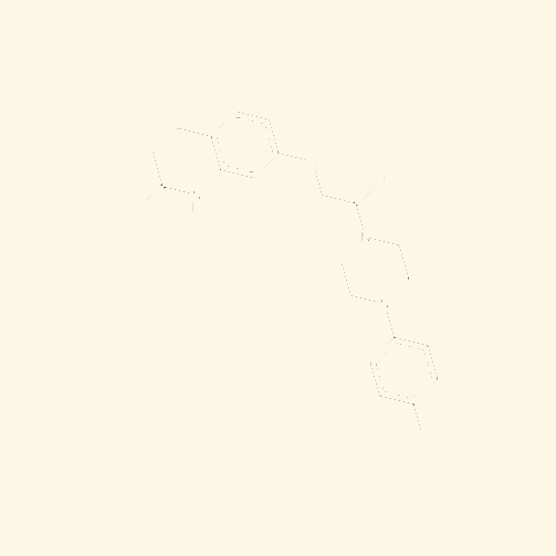 C=C1CCc2ccc(OCC(=O)N3CCN(c4ccc(Cl)cc4)CC3)cc2N1